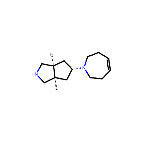 C[C@]12CNC[C@H]1C[C@H](N1CCC=CCC1)C2